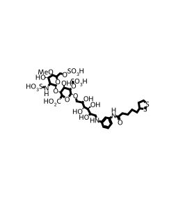 CO[C@@H]1C(COS(=O)(=O)O)O[C@@H](O[C@H]2C(C(=O)O)O[C@@H](OCC(O)[C@@H](O)[C@@H](O)C(O)CNc3cccc(NC(=O)CCCCC4CCSS4)c3)C(OS(=O)(=O)O)[C@@H]2O)C(NS(=O)(=O)O)[C@@H]1O